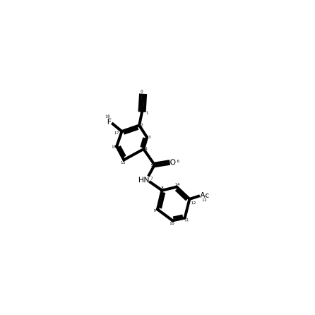 C#Cc1cc(C(=O)Nc2cccc(C(C)=O)c2)ccc1F